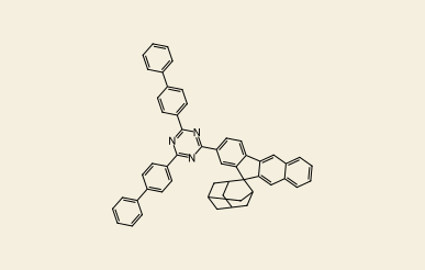 c1ccc(-c2ccc(-c3nc(-c4ccc(-c5ccccc5)cc4)nc(-c4ccc5c(c4)C4(c6cc7ccccc7cc6-5)C5CC6CC(C5)CC4C6)n3)cc2)cc1